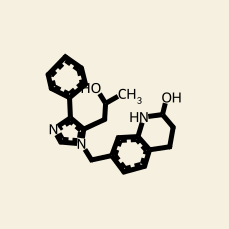 CC(O)Cc1c(-c2ccccc2)ncn1Cc1ccc2c(c1)NC(O)CC2